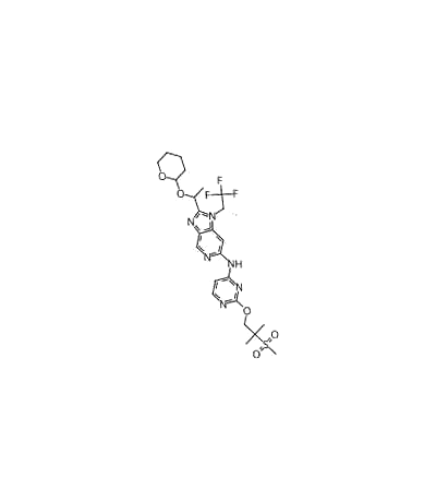 CC(OC1CCCCO1)c1nc2cnc(Nc3ccnc(OCC(C)(C)S(C)(=O)=O)n3)cc2n1[C@@H](C)C(F)(F)F